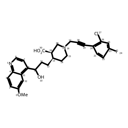 COc1ccc2nccc(C(O)CC[C@@H]3CCN(CC#Cc4ccc(F)cc4Cl)C[C@@H]3C(=O)O)c2c1